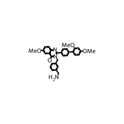 COc1ccc(-c2ccc(-c3nc4ccc(OC)cc4c(=O)n3Cc3cccc(CN)c3)cc2)c(OC)c1